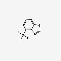 FC(F)(F)c1cccc2s[c]nc12